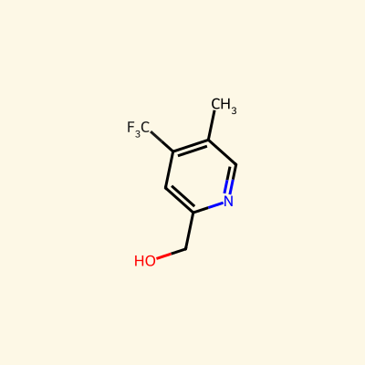 Cc1cnc(CO)cc1C(F)(F)F